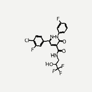 O=C(NCC(O)C(F)(F)F)c1cc(-c2ccc(Cl)c(F)c2)nn(-c2cccc(F)c2)c1=O